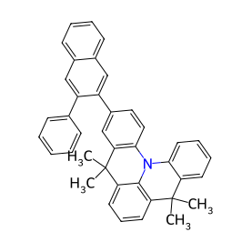 CC1(C)c2ccccc2N2c3ccc(-c4cc5ccccc5cc4-c4ccccc4)cc3C(C)(C)c3cccc1c32